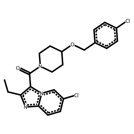 CCc1nc2ccc(Cl)cn2c1C(=O)N1CCC(OCc2ccc(Cl)cc2)CC1